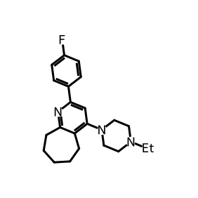 CCN1CCN(c2cc(-c3ccc(F)cc3)nc3c2CCCCC3)CC1